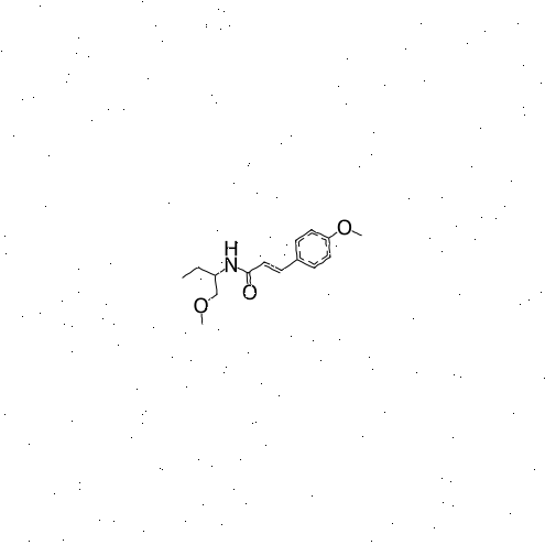 CCC(COC)NC(=O)C=Cc1ccc(OC)cc1